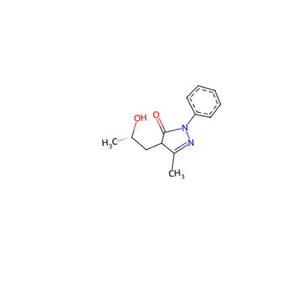 CC1=NN(c2ccccc2)C(=O)C1C[C@H](C)O